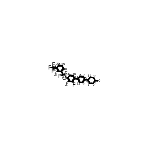 CC1CCC(c2ccc(-c3ccc(OC(F)(F)c4cccc(C(F)(F)F)c4F)c(F)c3F)cc2)CC1